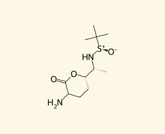 C[C@@H](N[S@+]([O-])C(C)(C)C)[C@@H]1CCC(N)C(=O)O1